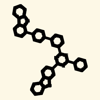 c1ccc(-c2nc(-c3cccc(-c4ccc(-c5cccc6c5sc5ccccc56)cc4)c3)nc(-c3ccc4c(c3)oc3ccccc34)n2)cc1